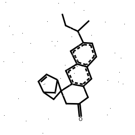 CCC(C)c1ccc2cc3c(cc2c1)C1(CC(=O)C3)CC2C=CC1C2